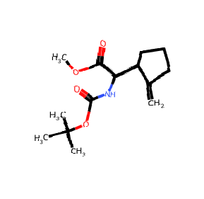 C=C1CCCC1C(NC(=O)OC(C)(C)C)C(=O)OC